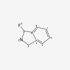 FC1[N]Cc2ccccc21